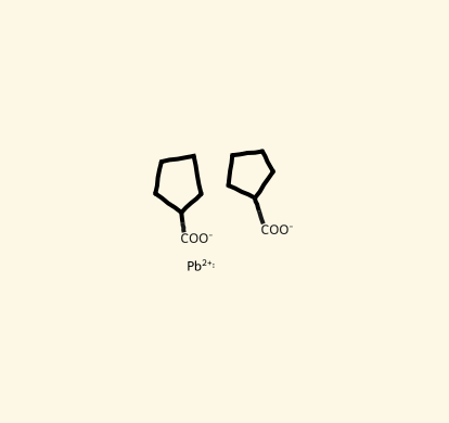 O=C([O-])C1CCCC1.O=C([O-])C1CCCC1.[Pb+2]